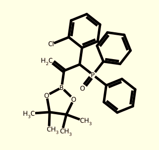 C=C(B1OC(C)(C)C(C)(C)O1)C(c1ccccc1Cl)P(=O)(c1ccccc1)c1ccccc1